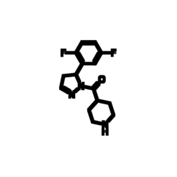 O=C(C1CCNCC1)N1N=CCC1c1cc(F)ccc1F